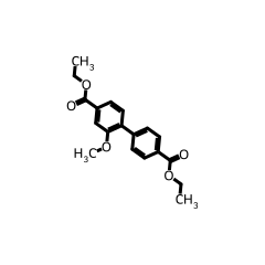 CCOC(=O)c1ccc(-c2ccc(C(=O)OCC)cc2OC)cc1